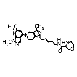 Cc1cc(N2CCc3c(c(C)nn3CCCCCNC(=O)[C@@H]3COCCN3)C2)c2cnn(C)c2n1